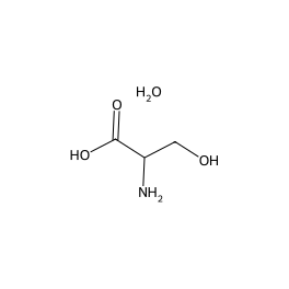 NC(CO)C(=O)O.O